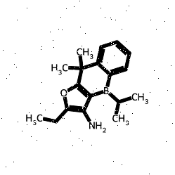 CCc1oc2c(c1N)B(C(C)C)c1ccccc1C2(C)C